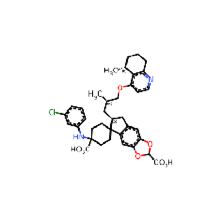 C[C@@H](COc1ccnc2c1[C@H](C)CCC2)C[C@H]1Cc2cc3c(cc2C12CCC(Nc1cccc(Cl)c1)(C(=O)O)CC2)OC(C(=O)O)O3